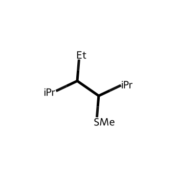 CCC(C(C)C)C(SC)C(C)C